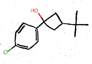 CC(C)(C)C1CC(O)(c2ccc(Cl)cc2)C1